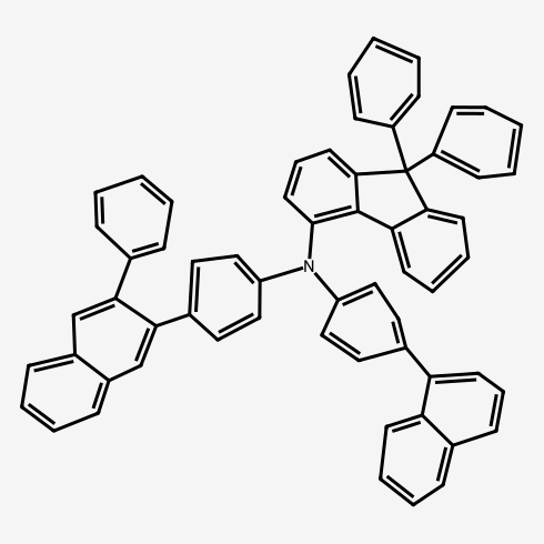 c1ccc(-c2cc3ccccc3cc2-c2ccc(N(c3ccc(-c4cccc5ccccc45)cc3)c3cccc4c3-c3ccccc3C4(c3ccccc3)c3ccccc3)cc2)cc1